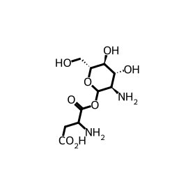 NC(CC(=O)O)C(=O)OC1O[C@H](CO)[C@@H](O)[C@H](O)[C@H]1N